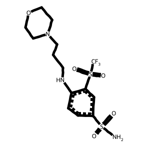 NS(=O)(=O)c1ccc(NCCCN2CCOCC2)c(S(=O)(=O)C(F)(F)F)c1